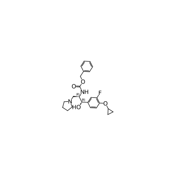 O=C(N[C@H](CN1CCCC1)[C@H](O)c1ccc(OC2CC2)c(F)c1)OCc1ccccc1